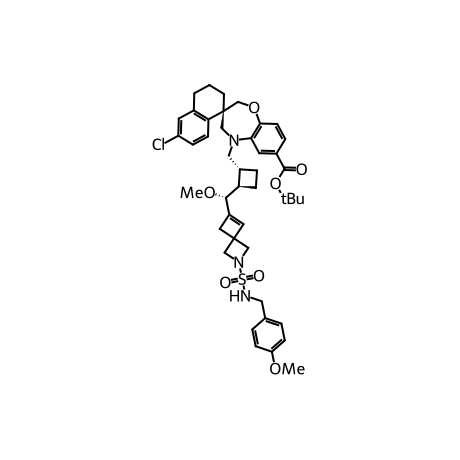 COc1ccc(CNS(=O)(=O)N2CC3(C=C([C@H](OC)[C@@H]4CC[C@H]4CN4C[C@@]5(CCCc6cc(Cl)ccc65)COc5ccc(C(=O)OC(C)(C)C)cc54)C3)C2)cc1